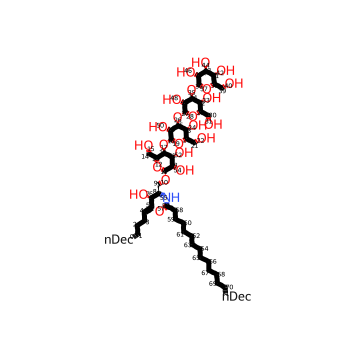 CCCCCCCCCCCCC/C=C/[C@@H](O)[C@H](CO[C@@H]1OC(CO)[C@@H](O[C@@H]2OC(CO)[C@H](O)[C@H](O[C@H]3OC(CO)[C@H](O)[C@H](O[C@H]4OC(CO)[C@H](O)[C@H](O)C4O)C3O)C2O)[C@H](O)C1O)NC(=O)CCCCCCCCCCCCCCCCCCCCCCC